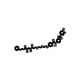 Cn1nc(-c2nc3cc(NC(=O)c4ccc(OCCOCCOCCNC(=O)CNC(=O)CCCc5ccccc5)cn4)ccc3o2)ccc1=O